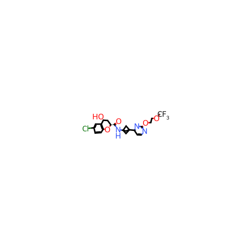 O=C(NC12CC(c3ccnc(OCCOC(F)(F)F)n3)(C1)C2)[C@H]1C[C@@H](O)c2cc(Cl)ccc2O1